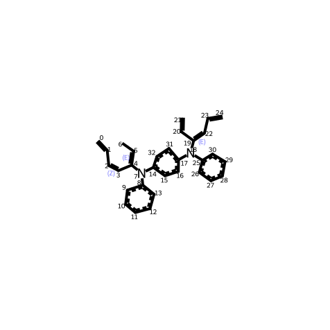 C=C/C=C\C(=C/C)N(c1ccccc1)c1ccc(N(/C(C=C)=C/C=C)c2ccccc2)cc1